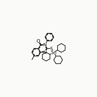 Cc1ccc2c(=O)n(-c3ccccc3)c([S][Sn]([CH]3CCCCC3)([CH]3CCCCC3)[CH]3CCCCC3)nc2c1